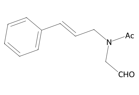 CC(=O)N(CC=O)C/C=C/c1ccccc1